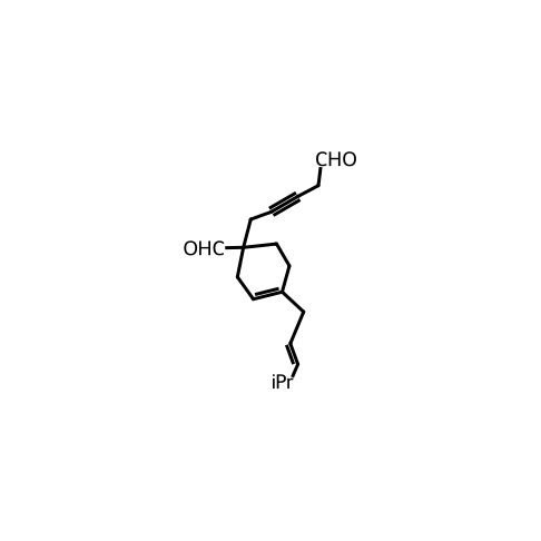 CC(C)C=CCC1=CCC(C=O)(CC#CCC=O)CC1